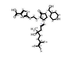 C[C@@](O)(C/C=C/[C@H]1CCC(=O)[C@H]1CCSc1nc(C(=O)O)cs1)CCC(F)=C(F)F.OCC1CCNCC1